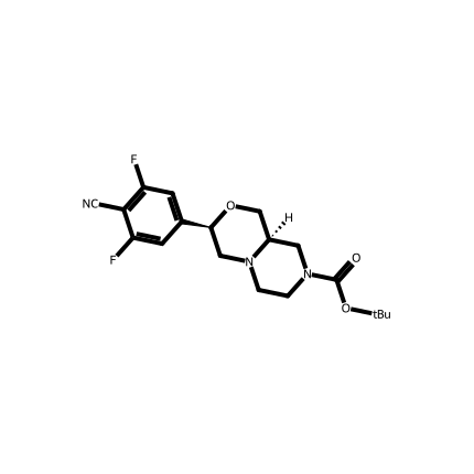 CC(C)(C)OC(=O)N1CCN2C[C@@H](c3cc(F)c(C#N)c(F)c3)OC[C@H]2C1